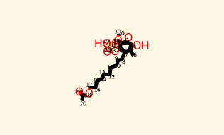 COc1c(O)c(C)c(CCCCCCCCCCOC(C)=O)c(OS(=O)(=O)O)c1OC